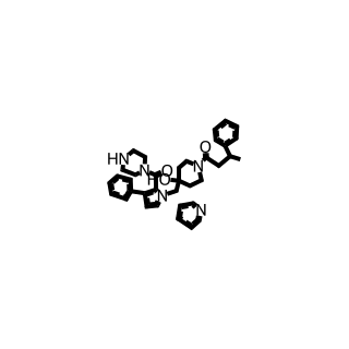 CC(CC(=O)N1CCC(O)(Cn2ccc(-c3ccccc3)c2C(=O)N2CCNCC2)CC1)c1ccccc1.c1ccncc1